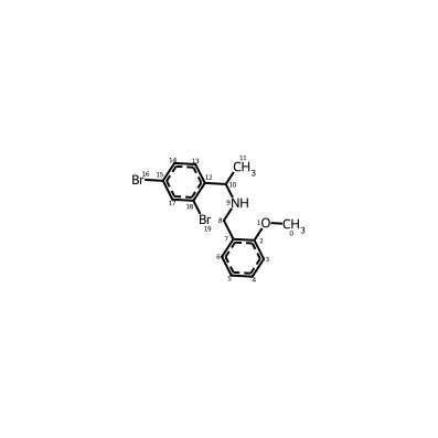 COc1ccccc1CNC(C)c1ccc(Br)cc1Br